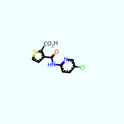 O=C(Nc1ccc(Cl)cn1)c1ccsc1C(=O)O